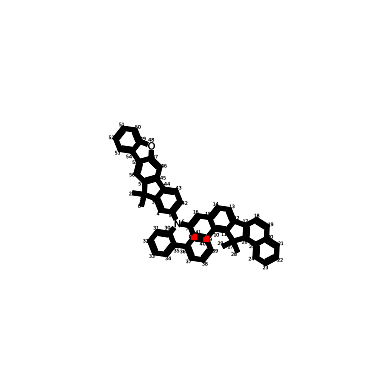 CC1(C)c2cc(N(c3ccc4c5c(ccc4c3)-c3ccc4ccccc4c3C5(C)C)c3ccccc3-c3ccccc3)ccc2-c2cc3oc4ccccc4c3cc21